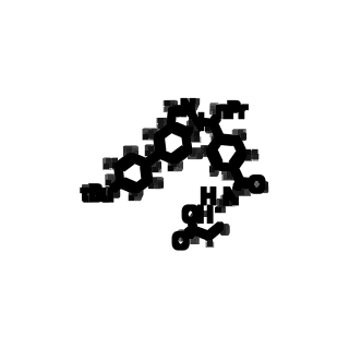 CCC(=O)O.CCCC(c1ccc(C(N)=O)cc1)n1ncc2cc(-c3ccc(C(C)(C)C)cc3)ccc21